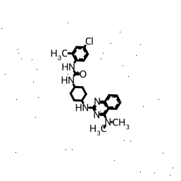 Cc1cc(Cl)ccc1NC(=O)NC1CCC(Nc2nc(N(C)C)c3ccccc3n2)CC1